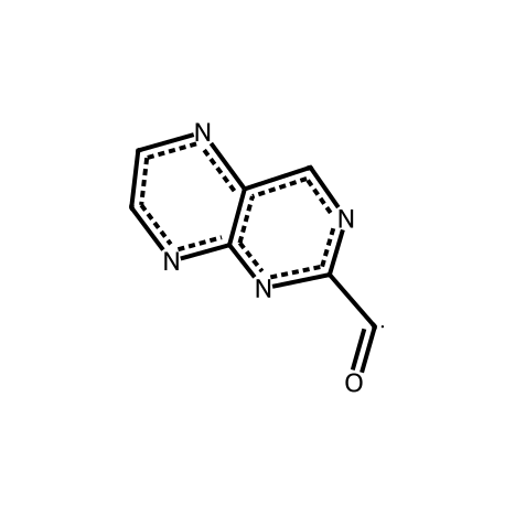 O=[C]c1ncc2nccnc2n1